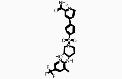 Cc1cc(C(F)(F)F)cnc1N[C@@H]1CCN(S(=O)(=O)c2ccc(-c3ccnc(C(N)=O)c3)cc2)C[C@@H]1O